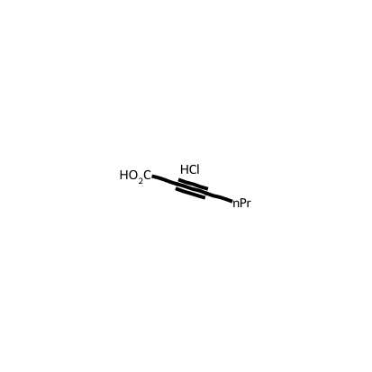 CCCC#CC(=O)O.Cl